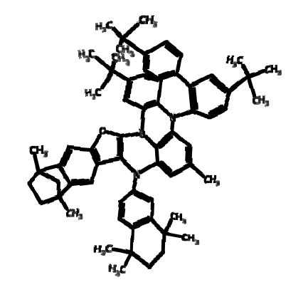 Cc1cc2c3c(c1)N(c1ccc4c(c1)C(C)(C)CCC4(C)C)c1c(oc4cc5c(cc14)C1(C)CCC5(C)C1)B3c1cc(C(C)(C)C)ccc1N2c1ccc(C(C)(C)C)cc1-c1ccc(C(C)(C)C)cc1